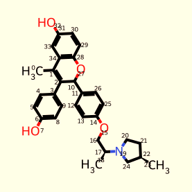 CC1=C(c2ccc(O)cc2)C(c2ccc(OC[C@H](C)N3CC[C@@H](C)C3)cc2)Oc2ccc(O)cc21